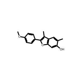 COc1ccc(-c2oc3cc(O)c(C)cc3c2C)cc1